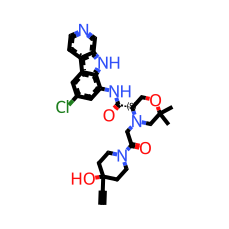 C#CC1(O)CCN(C(=O)CN2CC(C)(C)OC[C@H]2C(=O)Nc2cc(Cl)cc3c2[nH]c2cnccc23)CC1